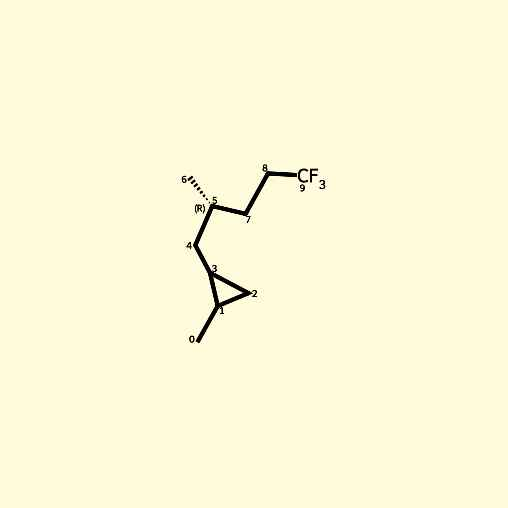 CC1CC1C[C@H](C)CCC(F)(F)F